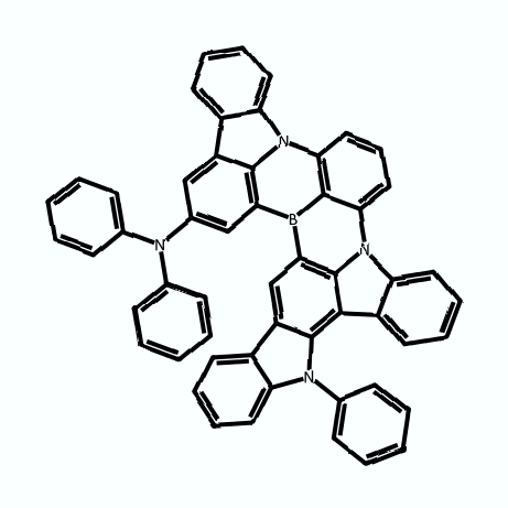 c1ccc(N(c2ccccc2)c2cc3c4c(c2)c2ccccc2n4-c2cccc4c2B3c2cc3c5ccccc5n(-c5ccccc5)c3c3c5ccccc5n-4c23)cc1